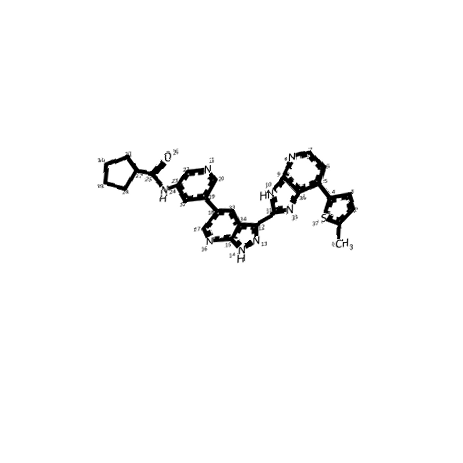 Cc1ccc(-c2ccnc3[nH]c(-c4n[nH]c5ncc(-c6cncc(NC(=O)C7CCCC7)c6)cc45)nc23)s1